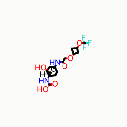 O=C(O)NC12CCC(NC(=O)COC3CC(OC(F)(F)F)C3)(CC1)C[C@@H]2O